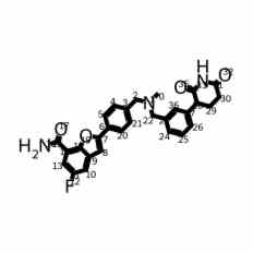 CN(Cc1ccc(-c2cc3cc(F)cc(C(N)=O)c3o2)cc1)Cc1cccc(C2CCC(=O)NC2=O)c1